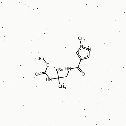 CCCCC(C)(CNC(=O)c1cnn(C)c1)NC(=O)OC(C)(C)C